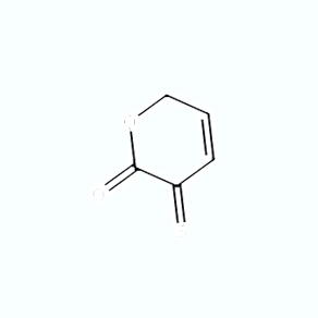 O=C1OCC=CC1=S